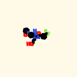 O=C(/N=c1\[nH]c2cc(N3CCCCC3=O)ccc2n1CCCO)c1cccc(C(F)F)c1